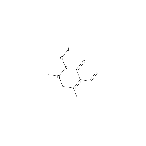 C=C/C(C=O)=C(\C)CN(C)SOI